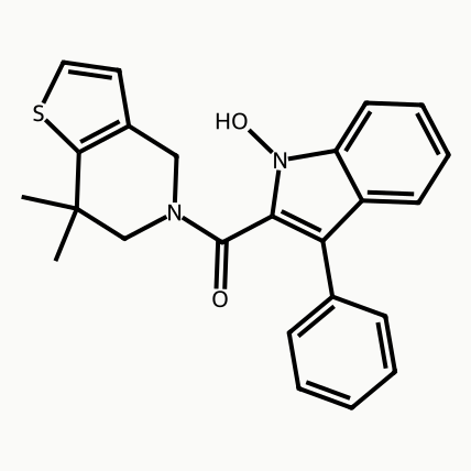 CC1(C)CN(C(=O)c2c(-c3ccccc3)c3ccccc3n2O)Cc2ccsc21